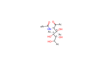 CCCC(=O)N[C@H](C(=O)C(C)=O)[C@](O)(C(C)=O)[C@@](O)(C(C)=O)[C@H](O)C(O)C(C)=O